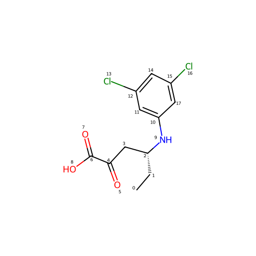 CC[C@H](CC(=O)C(=O)O)Nc1cc(Cl)cc(Cl)c1